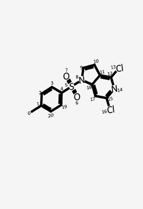 Cc1ccc(S(=O)(=O)n2ccc3c(Cl)nc(Cl)cc32)cc1